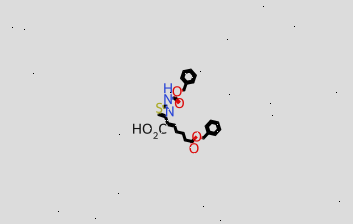 O=C(CCCC=C(C(=O)O)c1csc(NC(=O)OCc2ccccc2)n1)OCc1ccccc1